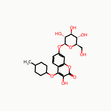 CC1CCC(Oc2c(O)c(=O)oc3cc(O[C@@H]4O[C@H](CO)[C@@H](O)[C@H](O)[C@H]4O)ccc23)CC1